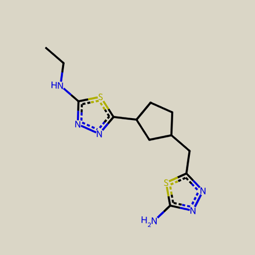 CCNc1nnc(C2CCC(Cc3nnc(N)s3)C2)s1